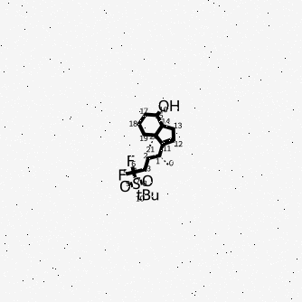 C[C@H](CCC(F)(F)S(=O)(=O)C(C)(C)C)C1=CCC2C(O)CCC[C@]12C